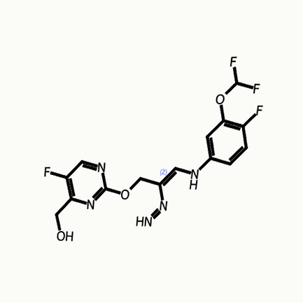 N=N/C(=C\Nc1ccc(F)c(OC(F)F)c1)COc1ncc(F)c(CO)n1